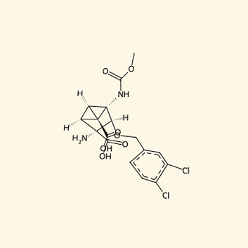 COC(=O)N[C@@]12[C@@H](OCc3ccc(Cl)c(Cl)c3)[C@@](N)(C(=O)O)[C@H]3[C@@H]1[C@@]32C(=O)O